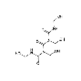 O=C(NCO)N(CO)C(=O)N(CO)C(=O)NCO